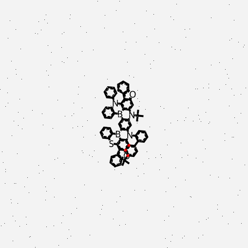 CC(C)(C)c1ccc(-c2ccccc2N2c3cc4c(cc3B3c5ccccc5Sc5c3c2cc2oc3ccccc3c52)B2c3ccccc3N(c3ccccc3)c3c2c(cc2oc5ccccc5c32)N4C(C)(C)C)cc1